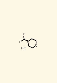 Cl.FC(F)N1CCOCC1